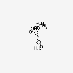 COc1ccc(CS[C@@H]2CC(C(=O)O)N(C(=O)OC(C)(C)C)C2)cc1